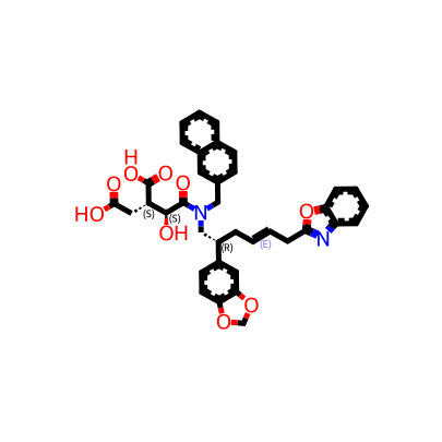 O=C(O)C[C@H](C(=O)O)[C@H](O)C(=O)N(Cc1ccc2ccccc2c1)C[C@H](C/C=C/Cc1nc2ccccc2o1)c1ccc2c(c1)OCO2